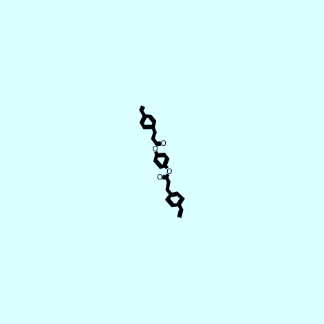 C=Cc1ccc(CCC(=O)Oc2ccc(OC(=O)CCc3ccc(C=C)cc3)cc2)cc1